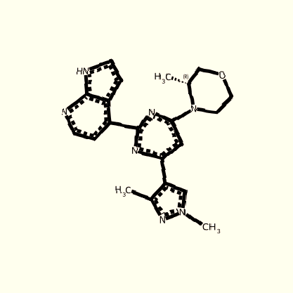 Cc1nn(C)cc1-c1cc(N2CCOC[C@H]2C)nc(-c2ccnc3[nH]ccc23)n1